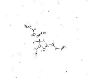 C#CCOC(=O)CC(C)(OC=O)C(=O)OCC#C